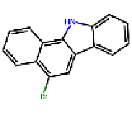 Brc1cc2c3ccccc3[nH]c2c2ccccc12